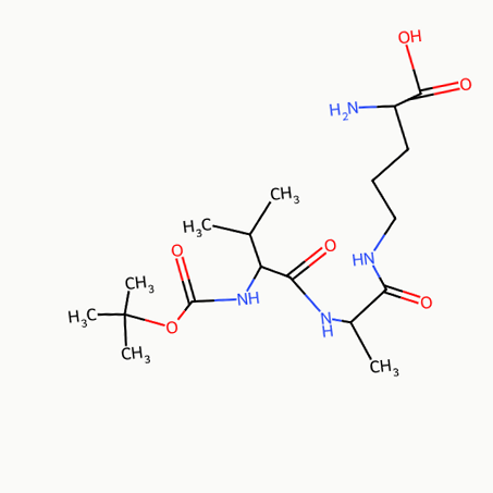 CC(NC(=O)C(NC(=O)OC(C)(C)C)C(C)C)C(=O)NCCCC(N)C(=O)O